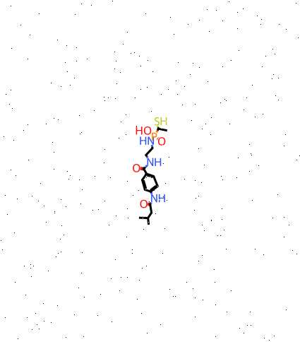 CC(C)CC(=O)Nc1ccc(C(=O)NCCNP(=O)(O)C(C)S)cc1